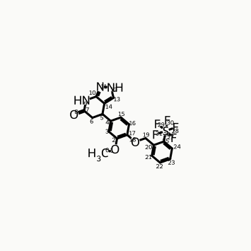 COc1cc(C2CC(=O)Nc3n[nH]cc32)ccc1OCc1ccccc1S(F)(F)(F)(F)F